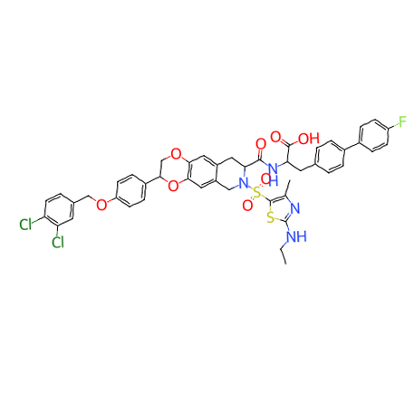 CCNc1nc(C)c(S(=O)(=O)N2Cc3cc4c(cc3CC2C(=O)NC(Cc2ccc(-c3ccc(F)cc3)cc2)C(=O)O)OCC(c2ccc(OCc3ccc(Cl)c(Cl)c3)cc2)O4)s1